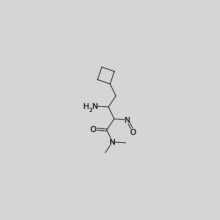 CN(C)C(=O)C(N=O)C(N)CC1CCC1